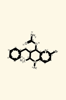 CC(=O)N1c2ccc(Br)nc2C(OC(N)=O)C(Cc2ccccc2)C1C